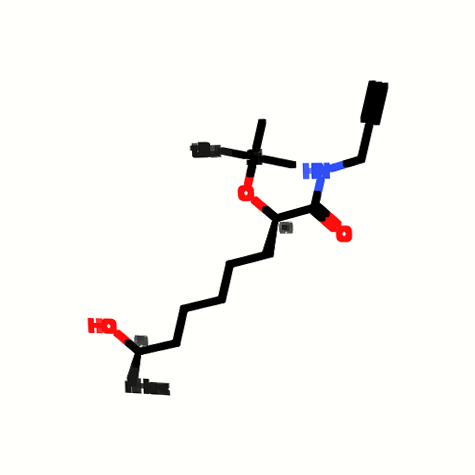 C#CCNC(=O)[C@@H](CCCCC[C@H](O)CCCCCC)O[Si](C)(C)C(C)(C)C